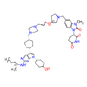 CCC[C@@H](C)Nc1ncc2c(n1)n([C@H]1CC[C@H](O)CC1)cc2[C@H]1CC[C@@H](CN2CCN(CCCO[C@H]3CCN(Cc4ccc5c(c4)n(C)c(=O)n5C4CCC(=O)NC4=O)C3)CC2)CC1